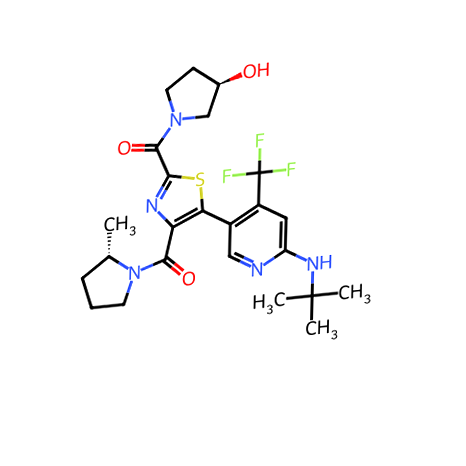 C[C@H]1CCCN1C(=O)c1nc(C(=O)N2CC[C@@H](O)C2)sc1-c1cnc(NC(C)(C)C)cc1C(F)(F)F